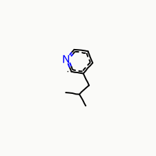 CC(C)Cc1[c]nccc1